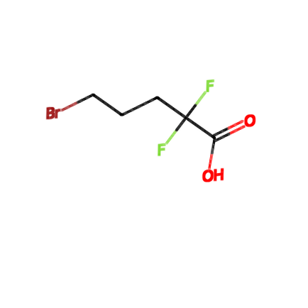 O=C(O)C(F)(F)CCCBr